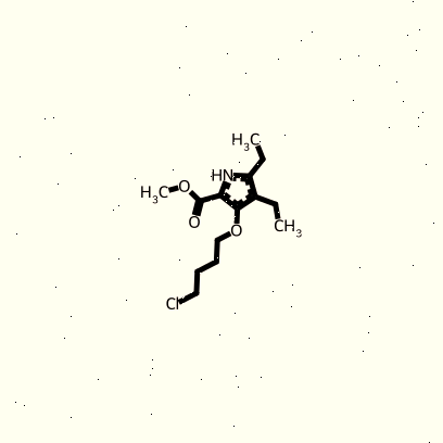 CCc1[nH]c(C(=O)OC)c(OCCCCCl)c1CC